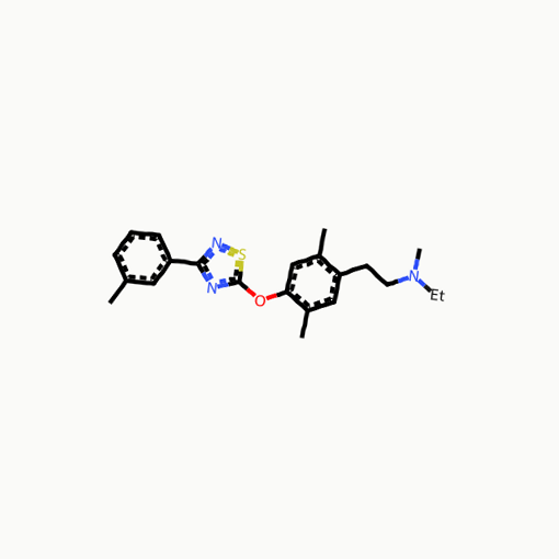 CCN(C)CCc1cc(C)c(Oc2nc(-c3cccc(C)c3)ns2)cc1C